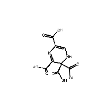 O=C(O)C1=CNC(C(=O)O)(C(=O)O)C(C(=O)O)=N1